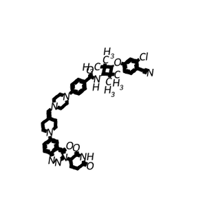 CC1(C)[C@H](NC(=O)c2ccc(N3CCN(C=C4CCN(c5ccc6nnn(C7CCC(=O)NC7=O)c(=O)c6c5)CC4)CC3)cc2)C(C)(C)[C@H]1Oc1ccc(C#N)c(Cl)c1